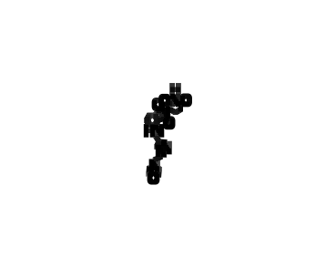 O=C1CCC(N2C(=O)c3cccc(NCc4cnn(CCN5CCOCC5)c4)c3C2=O)C(=O)N1